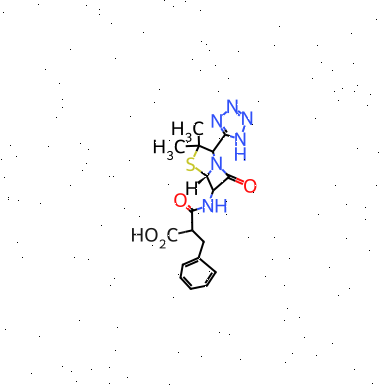 CC1(C)S[C@H]2C(NC(=O)C(Cc3ccccc3)C(=O)O)C(=O)N2C1c1nnn[nH]1